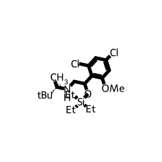 CC[Si](CC)(CC)OC(CN[C@@H](C)C(C)(C)C)c1c(Cl)cc(Cl)cc1OC